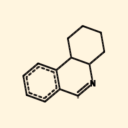 [C]1=NC2CCCCC2c2ccccc21